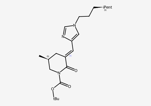 CCC[C@H](C)CCCn1cnc(/C=C2\C[C@H](C)CN(C(=O)OC(C)(C)C)C2=O)c1